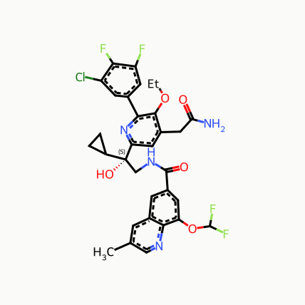 CCOc1c(CC(N)=O)cc([C@@](O)(CNC(=O)c2cc(OC(F)F)c3ncc(C)cc3c2)C2CC2)nc1-c1cc(F)c(F)c(Cl)c1